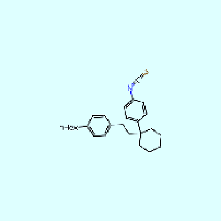 CCCCCCc1ccc(CCC2(c3ccc(N=C=S)cc3)CCCCC2)cc1